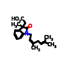 CC(C)=CCC(C)=CCN1C(=O)C(C)(CC(=O)O)c2ccccc21